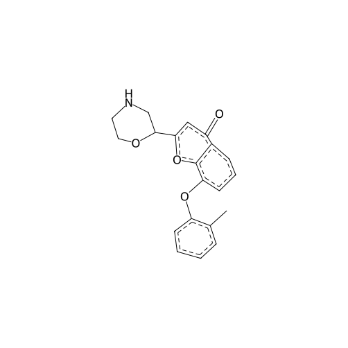 Cc1ccccc1Oc1cccc2c(=O)cc(C3CNCCO3)oc12